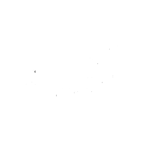 CC(O)COC(=O)COc1ccc2sc3ccccc3c(=O)c2c1